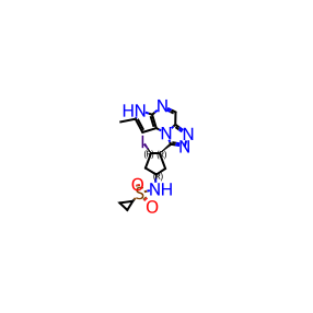 Cc1cc2c(ncc3nnc([C@H]4C[C@@H](NS(=O)(=O)C5CC5)C[C@H]4I)n32)[nH]1